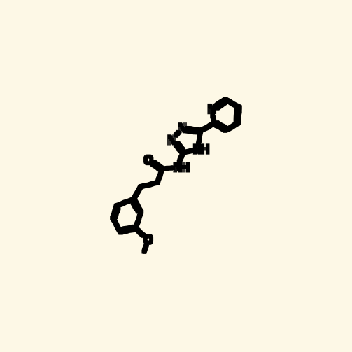 COc1cccc(CCC(=O)Nc2nnc(-c3ccccn3)[nH]2)c1